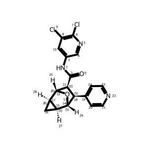 O=C(Nc1cnc(Cl)c(Cl)c1)[C@@H]1[C@@H]2O[C@@H]([C@H]3C[C@H]32)[C@@H]1c1ccncc1